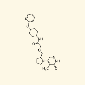 Cc1c(N2CCC[C@H]2COCC(=O)NC2CCC(Oc3ccccn3)CC2)cn[nH]c1=O